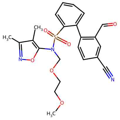 COCCOCN(c1onc(C)c1C)S(=O)(=O)c1ccccc1-c1ccc(C#N)cc1C=O